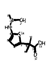 CB(O)Nc1ccc(C(C)(C)C(=O)O)s1